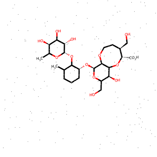 CC1CCC[C@@H](O[C@@H]2OC(CO)[C@H](O)C3O[C@@H](C(=O)O)[C@H](CO)CCOC32)C1O[C@@H]1OC(C)[C@@H](O)C(O)[C@@H]1O